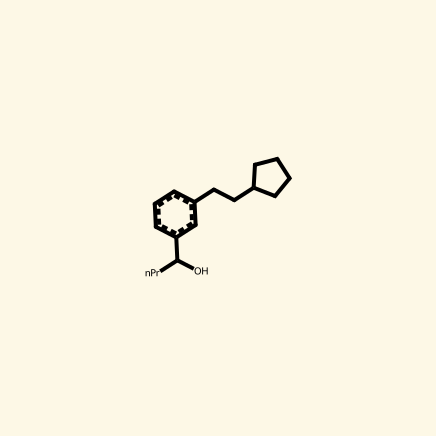 CCCC(O)c1cccc(CCC2CCCC2)c1